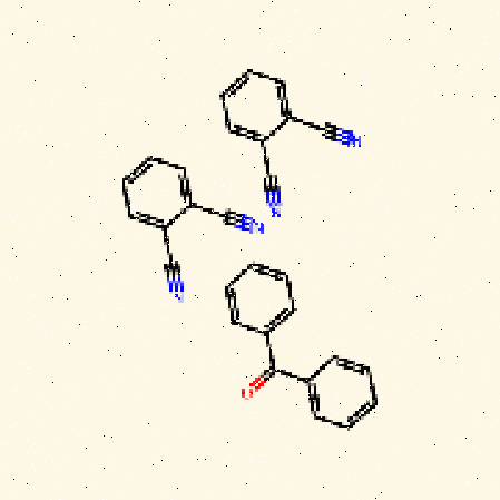 N#Cc1ccccc1C#N.N#Cc1ccccc1C#N.O=C(c1ccccc1)c1ccccc1